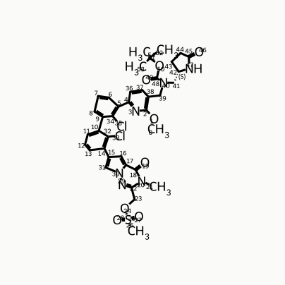 COc1nc(-c2cccc(-c3cccc(-c4cc5c(=O)n(C)c(COS(C)(=O)=O)nn5c4)c3Cl)c2Cl)ccc1CN(C[C@@H]1CCC(=O)N1)C(=O)OC(C)(C)C